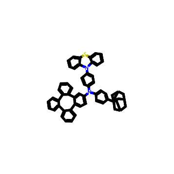 c1ccc2c(c1)Sc1ccccc1N2c1ccc(N(c2ccc(C34CC5CC(CC(C5)C3)C4)cc2)c2ccc3c(c2)-c2ccccc2-c2ccccc2-c2ccccc2-3)cc1